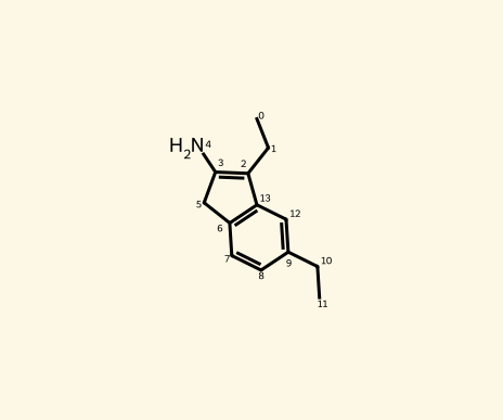 CCC1=C(N)Cc2ccc(CC)cc21